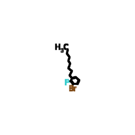 CCCCCCCCCc1cccc(Br)c1F